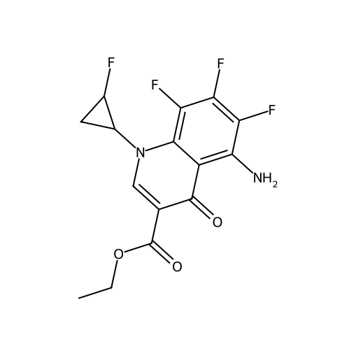 CCOC(=O)c1cn(C2CC2F)c2c(F)c(F)c(F)c(N)c2c1=O